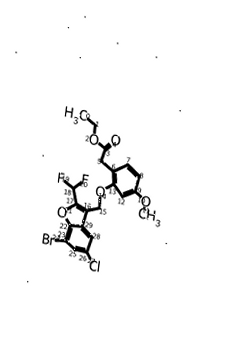 CCOC(=O)Cc1ccc(OC)cc1OCc1c(C(F)F)oc2c(Br)cc(Cl)cc12